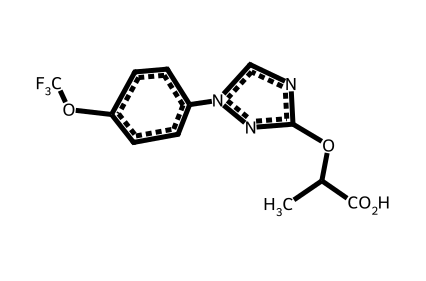 CC(Oc1ncn(-c2ccc(OC(F)(F)F)cc2)n1)C(=O)O